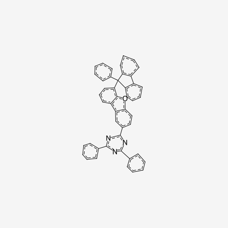 c1ccc(-c2nc(-c3ccccc3)nc(-c3ccc4oc5c(C6(c7ccccc7)c7ccccc7-c7ccccc76)cccc5c4c3)n2)cc1